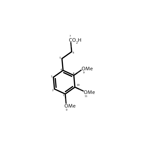 COc1ccc(CCC(=O)O)c(OC)c1OC